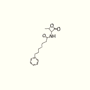 CC1OC(=O)C1NC(=O)CCCCCCc1ccccc1